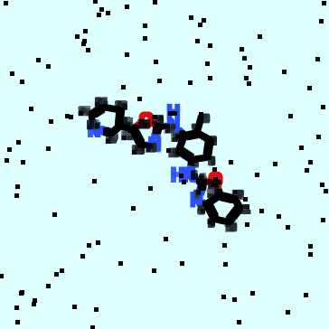 Cc1ccc(Nc2nc3ccccc3o2)cc1Nc1ncc(-c2cccnc2)o1